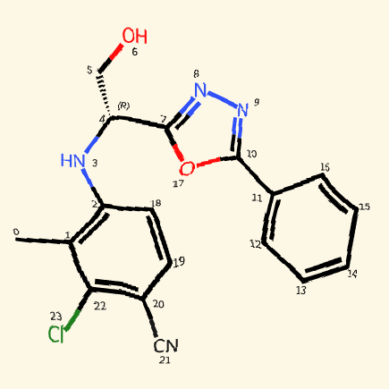 Cc1c(N[C@H](CO)c2nnc(-c3ccccc3)o2)ccc(C#N)c1Cl